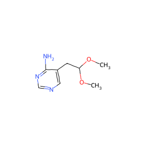 COC(Cc1cncnc1N)OC